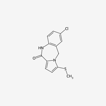 CSc1ccc2n1Cc1cc(Cl)ccc1NC2=O